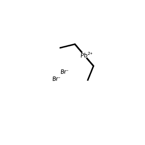 C[CH2][Pb+2][CH2]C.[Br-].[Br-]